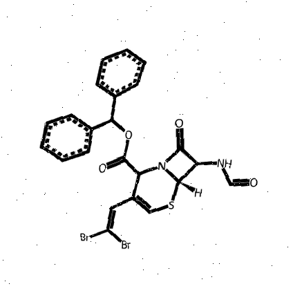 O=CNC1C(=O)N2C(C(=O)OC(c3ccccc3)c3ccccc3)C(C=C(Br)Br)=CS[C@@H]12